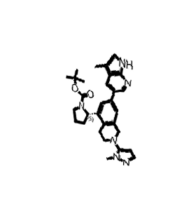 Cc1c[nH]c2ncc(-c3cc4c(c([C@@H]5CCCN5C(=O)OC(C)(C)C)c3)CCN(c3ccnn3C)C4)cc12